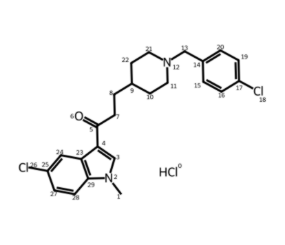 Cl.Cn1cc(C(=O)CCC2CCN(Cc3ccc(Cl)cc3)CC2)c2cc(Cl)ccc21